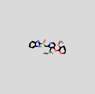 COC1=C(Oc2ccnc(C[S+]([O-])c3nc4ccccc4[nH]3)c2C)OCC=C1.[NaH]